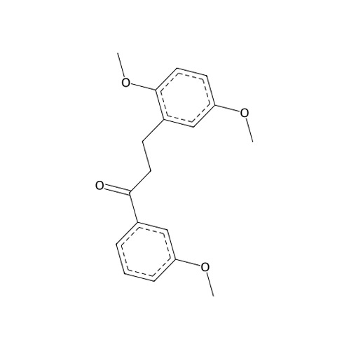 COc1cccc(C(=O)CCc2cc(OC)ccc2OC)c1